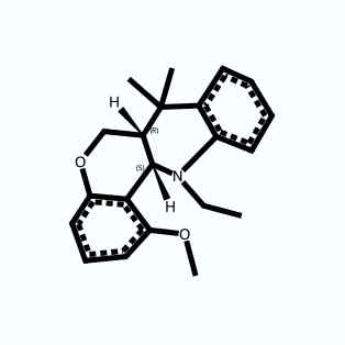 CCN1c2ccccc2C(C)(C)[C@H]2COc3cccc(OC)c3[C@H]21